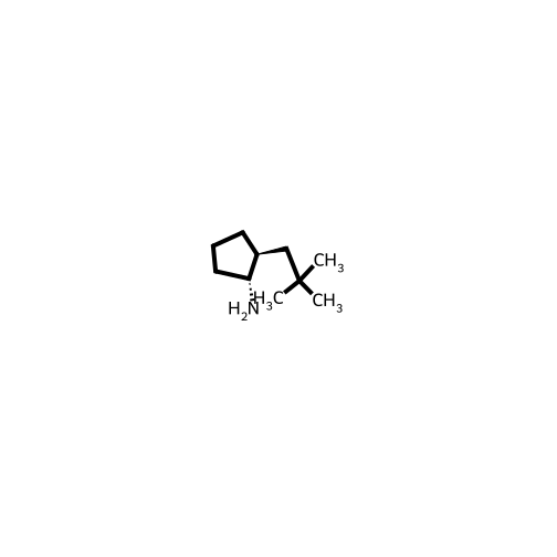 CC(C)(C)C[C@@H]1CCC[C@H]1N